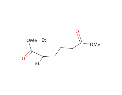 CCC(CC)(CCCC(=O)OC)C(=O)OC